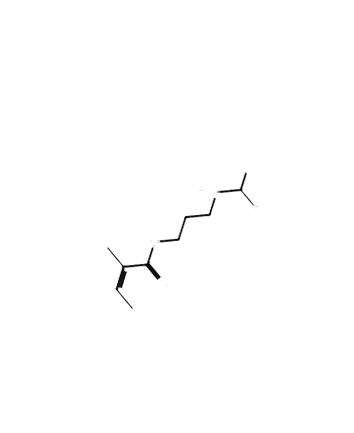 CC=C(C)C(=O)OCCC[SiH2]C(F)F